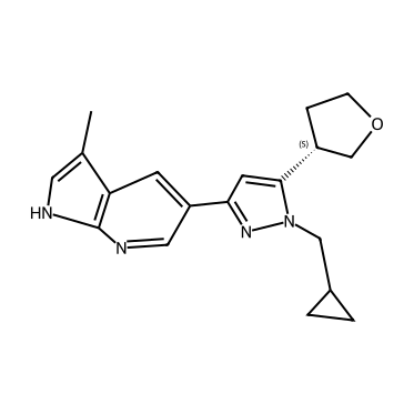 Cc1c[nH]c2ncc(-c3cc([C@@H]4CCOC4)n(CC4CC4)n3)cc12